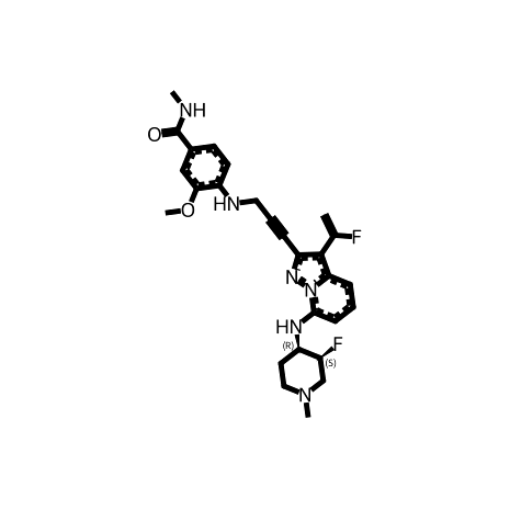 C=C(F)c1c(C#CCNc2ccc(C(=O)NC)cc2OC)nn2c(N[C@@H]3CCN(C)C[C@@H]3F)cccc12